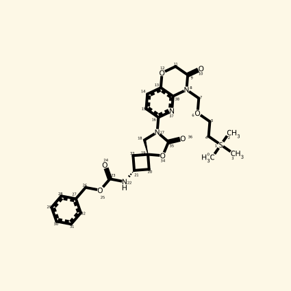 CS(C)(C)CCOCN1C(=O)COc2ccc(N3C[C@]4(C[C@H](NC(=O)OCc5ccccc5)C4)OC3=O)nc21